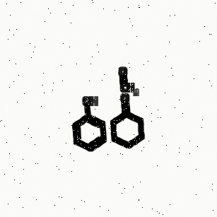 C=O.O=C1CCCCC1.Oc1ccccc1